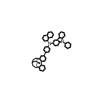 c1ccc(-n2c3ccccc3c3cc(N(c4ccc(-c5ccc6c(c5)C5CC7CC(CC(C7)c7ccccc7-6)C5)cc4)c4cccc5ccccc45)ccc32)cc1